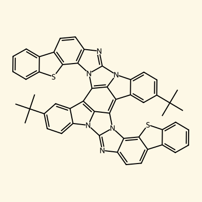 CC(C)(C)c1ccc2c(c1)c1c3c(c4c5cc(C(C)(C)C)ccc5n5c4c1n1c4c(ccc6c7ccccc7sc64)nc51)n1c4c(ccc5c6ccccc6sc54)nc1n23